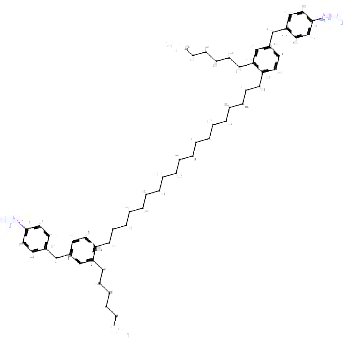 CCCCCCc1cc(Cc2ccc(N)cc2)ccc1CCCCCCCCCCCCCCCCCCCc1ccc(Cc2ccc(N)cc2)cc1CCCCCC